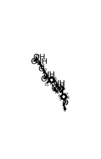 C#CCOc1ccc(-c2cnc3c(Nc4ccc(C(=O)NCCOCCNC(=O)O)c(C)c4)nccn23)cc1